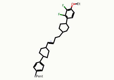 CCCCCc1ccc(C2CCC(/C=C/CCC3CCC(c4ccc(OCC)c(F)c4F)CC3)CC2)cc1